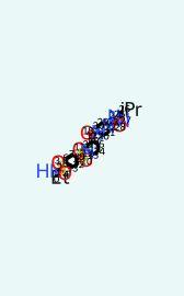 CCNS(=O)(=O)c1ccc(S(=O)(=O)N2CCC[C@@H](C(=O)N3CCN(c4nc(C(C)C)no4)CC3)C2)cc1